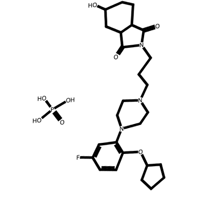 O=C1C2CCC(O)CC2C(=O)N1CCCN1CCN(c2cc(F)ccc2OC2CCCC2)CC1.O=P(O)(O)O